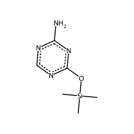 C[Si](C)(C)Oc1ncnc(N)n1